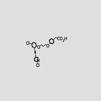 O=C(O)Cc1ccc(OCCCOc2ccc(Cl)cc2C#Cc2ccc(Cl)nc2)cc1